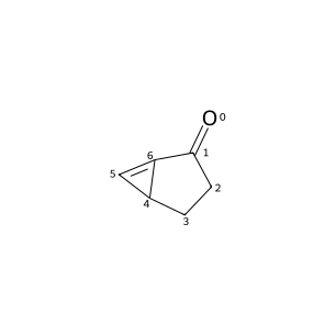 O=C1CCC2C=C12